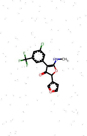 CNC1=C(c2cc(Cl)cc(C(F)(F)F)c2)C(=O)C(c2ccoc2)O1